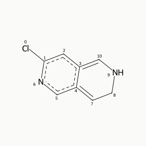 Clc1cc2c(cn1)=CCNC=2